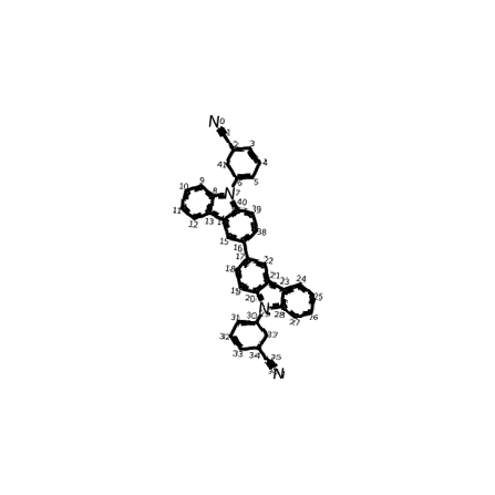 N#CC1C=CC=C(n2c3ccccc3c3cc(-c4ccc5c(c4)c4ccccc4n5C4=CC=CC(C#N)C4)ccc32)C1